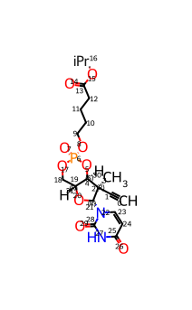 C#C[C@]1(C)[C@@H]2OP(=O)(OCCCCC(=O)OC(C)C)OC[C@H]2O[C@H]1n1ccc(=O)[nH]c1=O